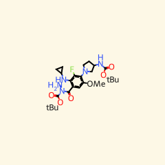 COc1cc(C(=O)N(N)C(=O)OC(C)(C)C)c(NC2CC2)c(F)c1N1CCC(NC(=O)OC(C)(C)C)C1